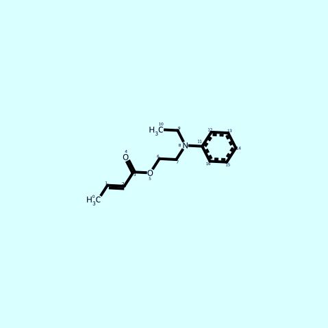 C/C=C/C(=O)OCCN(CC)c1ccccc1